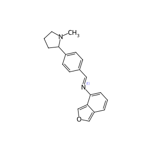 CN1CCCC1c1ccc(/C=N/c2cccc3cocc23)cc1